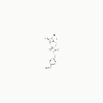 COc1ccc(COC(=O)C2(Cl)CS[C@@H]3C(N)C(=O)N3C2)cc1